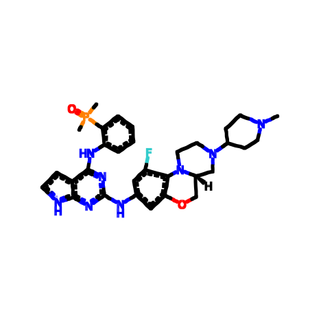 CN1CCC(N2CCN3c4c(F)cc(Nc5nc(Nc6ccccc6P(C)(C)=O)c6cc[nH]c6n5)cc4OC[C@H]3C2)CC1